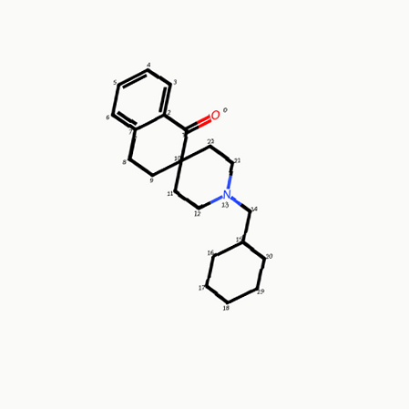 O=C1c2ccccc2CCC12CCN(CC1CCCCC1)CC2